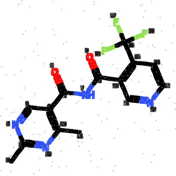 Cc1ncc(C(=O)NC(=O)c2cnccc2C(F)(F)F)c(C)n1